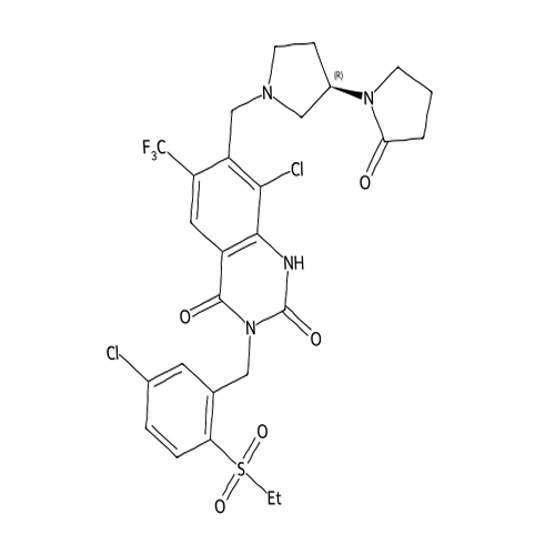 CCS(=O)(=O)c1ccc(Cl)cc1Cn1c(=O)[nH]c2c(Cl)c(CN3CC[C@@H](N4CCCC4=O)C3)c(C(F)(F)F)cc2c1=O